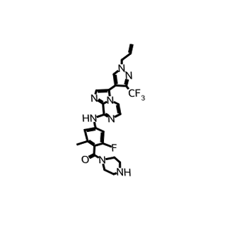 C=CCn1cc(-c2cnc3c(Nc4cc(C)c(C(=O)N5CCNCC5)c(F)c4)nccn23)c(C(F)(F)F)n1